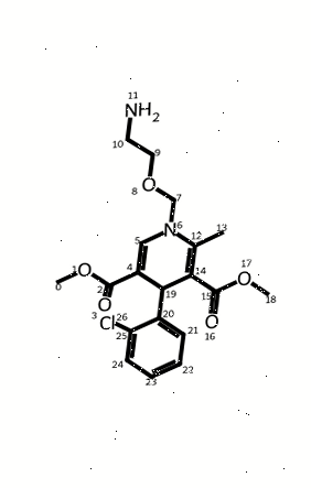 COC(=O)C1=CN(COCCN)C(C)=C(C(=O)OC)C1c1ccccc1Cl